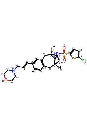 O=S(=O)(N[C@H]1[C@@H]2CC[C@H]1Cc1cc(/C=C/CN3CCOCC3)ccc1C2)c1ccc(Cl)s1